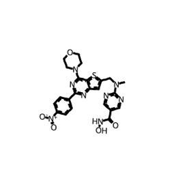 CN(Cc1cc2nc(-c3ccc([N+](=O)[O-])cc3)nc(N3CCOCC3)c2s1)c1ncc(C(=O)NO)cn1